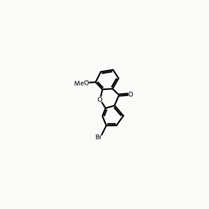 COc1cccc2c(=O)c3ccc(Br)cc3oc12